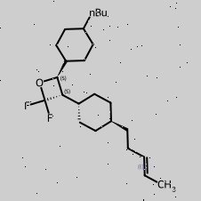 C/C=C/CC[C@H]1CC[C@H]([C@H]2[C@H](C3CCC(CCCC)CC3)OC2(F)F)CC1